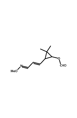 CON=CC=CC1C(OC=O)C1(C)C